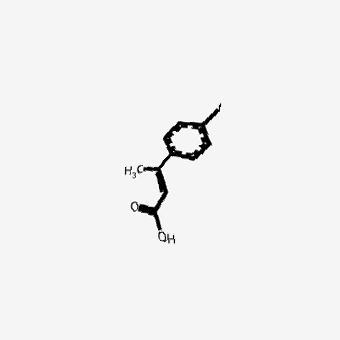 CC(=CC(=O)O)c1ccc(I)cc1